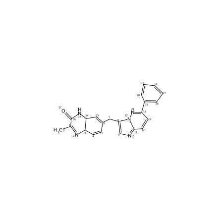 CC1=NC2C=CC(Cc3cnc4ccc(-c5ccccc5)nn34)=CC2NC1=O